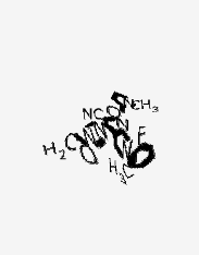 C=CC(=O)N1CCN(c2c(C#N)c(OCC3CCCN3C)nc3c2CCN(c2c(C)cccc2F)C3)CC1